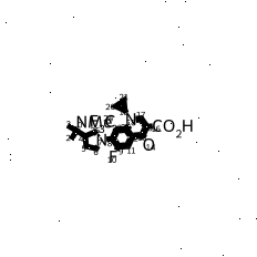 CNC(C)(C)C1CCN(c2c(F)cc3c(=O)c(C(=O)O)cn(C4CC4)c3c2C(F)(F)F)C1